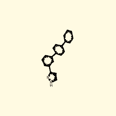 c1ccc(-c2ccc(-c3cccc(-c4cc[nH]n4)c3)cc2)cc1